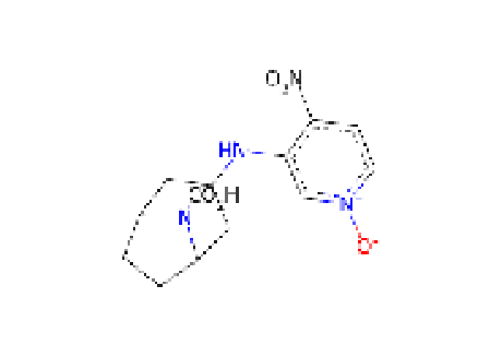 O=C(O)N1C2CCC1CC(Nc1c[n+]([O-])ccc1[N+](=O)[O-])C2